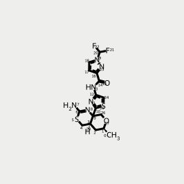 C[C@H]1C[C@H]2CSC(N)=NC2(c2nc(NC(=O)c3ccn(C(F)F)n3)cs2)CO1